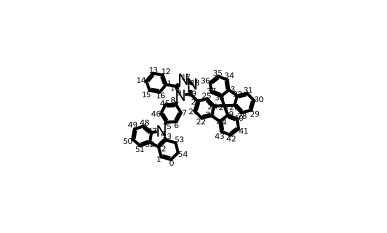 C1=Cc2c(n(-c3ccc(-n4c(-c5ccccc5)nnc4-c4ccc5c(c4)C4(c6ccccc6-c6ccccc64)c4ccccc4-5)cc3)c3ccccc23)CC1